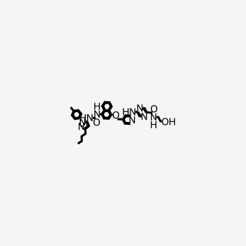 CCCCc1cc(NC(=O)Nc2ccc(OCc3ccnc(Nc4cnc(C(=O)NCCO)cn4)c3)c3ccccc23)n(-c2ccc(C)cc2)n1